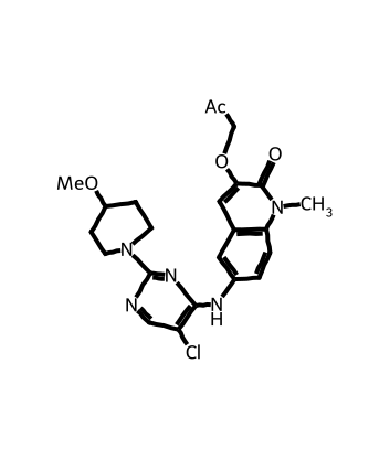 COC1CCN(c2ncc(Cl)c(Nc3ccc4c(c3)cc(OCC(C)=O)c(=O)n4C)n2)CC1